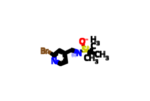 CC(C)(C)[S+]([O-])/N=C/c1ccnc(Br)c1